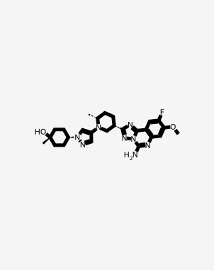 COc1cc2nc(N)n3nc([C@H]4CC[C@@H](C)N(c5cnn([C@H]6CC[C@@](C)(O)CC6)c5)C4)nc3c2cc1F